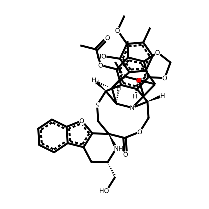 COc1c(C)cc2c(c1O)[C@H]1[C@@H]3[C@@H]4SC[C@]5(N[C@H](CO)Cc6c5oc5ccccc65)C(=O)OC[C@@H](c5c6c(c(C)c(OC(C)=O)c54)OCO6)N3[C@]3(O)C2[C@@H]3N1C